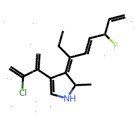 C=CC(F)C=C/C(CC)=C1/C(C(=C)C(=C)Cl)=CNC1C